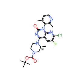 Cc1ccnc(C)c1-n1c(=O)nc(N2CCN(C(=O)OC(C)(C)C)C[C@@H]2C)c2cc(F)c(Cl)nc21